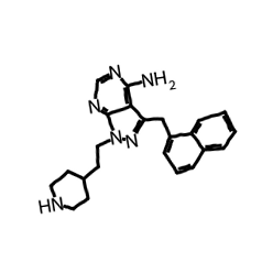 Nc1ncnc2c1c(Cc1cccc3ccccc13)nn2CCC1CCNCC1